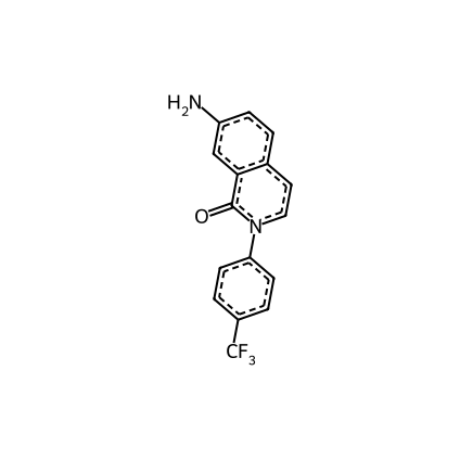 Nc1ccc2ccn(-c3ccc(C(F)(F)F)cc3)c(=O)c2c1